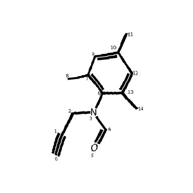 C#CCN(C=O)c1c(C)cc(C)cc1C